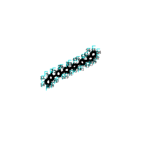 FC1=C(F)C(c2c(F)c(F)c3c(F)c(F)c(F)c(F)c3c2F)C(F)C(F)=C1c1c(F)c(F)c(-c2c(F)c(F)c(-c3c(F)c(F)c(-c4c(F)c(F)c5c(F)c(F)c(F)c(F)c5c4F)c(F)c3F)c(F)c2F)c(F)c1F